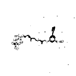 C#Cc1cc(C=O)cc(OC/C(C)=C/CC/C(C)=C/COP(=O)(O)PP(=O)(O)P)c1